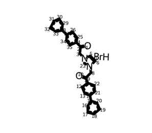 Br.O=C(CN1C=CN(CC(=O)c2ccc(-c3ccccc3)cc2)C1)c1ccc(-c2ccccc2)cc1